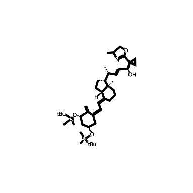 C=C1/C(=C\C=C2/CCC[C@]3(C)[C@@H]([C@H](C)/C=C/[C@@H](O)C4(C5=NC(C)CO5)CC4)CC[C@@H]23)C[C@@H](O[Si](C)(C)C(C)(C)C)C[C@@H]1O[Si](C)(C)C(C)(C)C